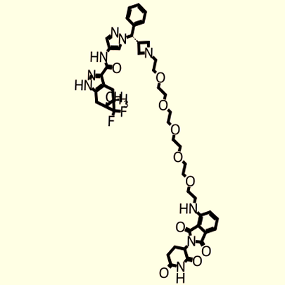 C[C@@]12Cc3[nH]nc(C(=O)Nc4cnn([C@H](c5ccccc5)C5CN(CCOCCOCCOCCOCCOCCNc6cccc7c6C(=O)N(C6CCC(=O)NC6=O)C7=O)C5)c4)c3C[C@@H]1C2(F)F